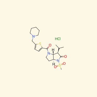 CC(C)[C@H]1C(=O)N(S(C)(=O)=O)[C@H]2CCN(C(=O)c3ccc(CN4CCCCC4)s3)[C@H]12.Cl